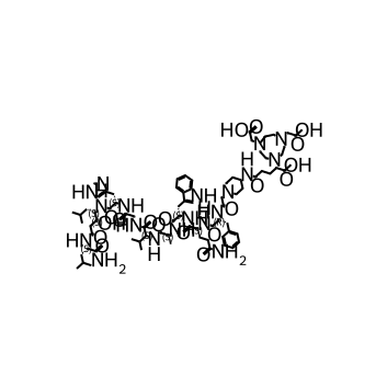 CC(C)C[C@H](NC(=O)C[C@H](O)[C@H](CC(C)C)NC(=O)[C@H](Cc1c[nH]cn1)NC(=O)CNC(=O)[C@@H](NC(=O)[C@H](C)NC(=O)[C@H](Cc1c[nH]c2ccccc12)NC(=O)[C@H](CCC(N)=O)NC(=O)[C@@H](Cc1ccccc1)NC(=O)CN1CCC(NC(=O)CCC(C(=O)O)N2CCN(CC(=O)O)CCN(CC(=O)O)CC2)CC1)C(C)C)C(N)=O